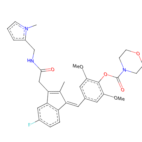 COc1cc(C=C2C(C)=C(CC(=O)NCc3cccn3C)c3cc(F)ccc32)cc(OC)c1OC(=O)N1CCOCC1